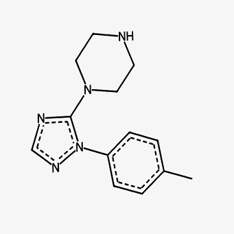 Cc1ccc(-n2ncnc2N2CCNCC2)cc1